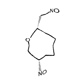 O=NC[C@@H]1CC[C@H](N=O)CO1